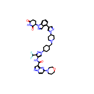 O=C1CCC(n2ncc3c(-c4cnn(C5CCN(CC6CCC(n7cc(NC(=O)c8cnn9ccc(N%10CCCOCC%10)nc89)c(C(F)F)n7)CC6)CC5)c4)cccc32)C(=O)N1